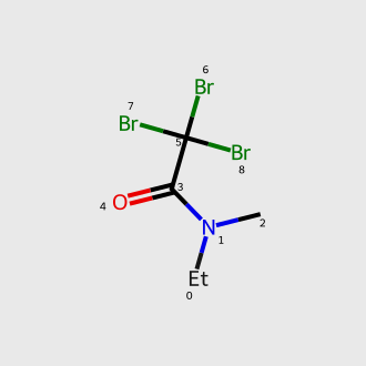 CCN(C)C(=O)C(Br)(Br)Br